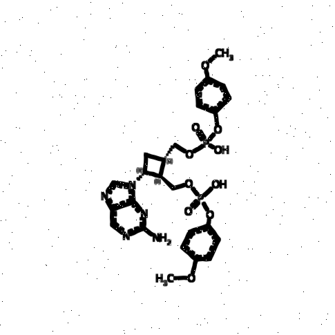 COc1ccc(OP(=O)(O)OC[C@H]2C[C@@H](n3cnc4cnc(N)nc43)[C@@H]2COP(=O)(O)Oc2ccc(OC)cc2)cc1